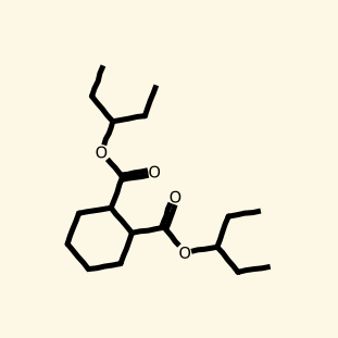 CCC(CC)OC(=O)C1CCCCC1C(=O)OC(CC)CC